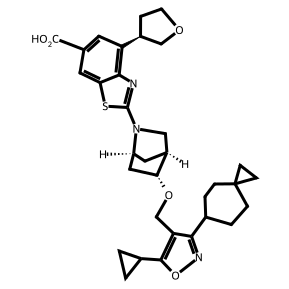 O=C(O)c1cc([C@H]2CCOC2)c2nc(N3C[C@@H]4C[C@H]3C[C@H]4OCc3c(C4CCC5(CC4)CC5)noc3C3CC3)sc2c1